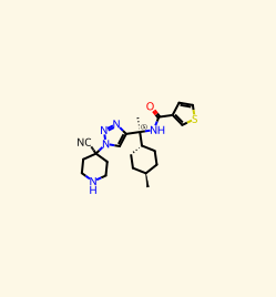 C[C@@](NC(=O)c1ccsc1)(c1cn(C2(C#N)CCNCC2)nn1)[C@H]1CC[C@H](C)CC1